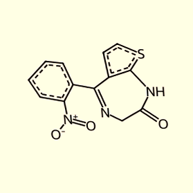 O=C1CN=C(c2ccccc2[N+](=O)[O-])c2ccsc2N1